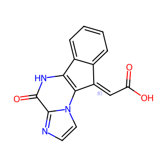 O=C(O)/C=c1\c2ccccc2c2[nH]c(=O)c3nccn3c12